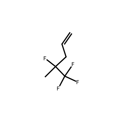 C=CCC(C)(F)C(F)(F)F